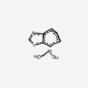 OBO.c1ccc2ocnc2c1